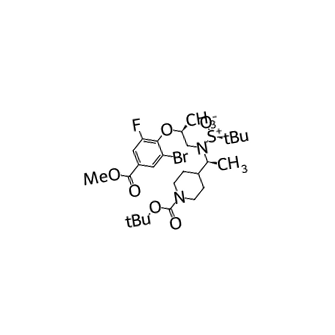 COC(=O)c1cc(F)c(O[C@@H](C)CN([C@@H](C)C2CCN(C(=O)OC(C)(C)C)CC2)[S@@+]([O-])C(C)(C)C)c(Br)c1